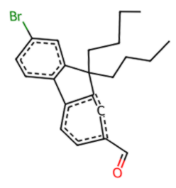 CCCCC1(CCCC)c2cc(Br)ccc2-c2ccc(C=O)cc21